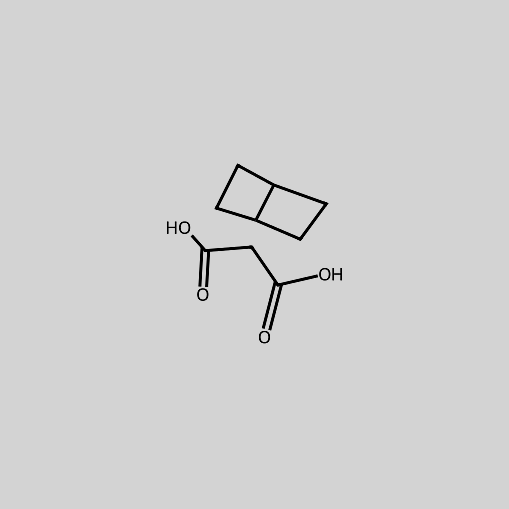 C1CC2CCC12.O=C(O)CC(=O)O